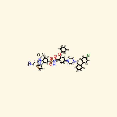 CN(C)CC[C@H](Nc1ccc(S(=O)(=O)NC(=O)c2ccc(N3CCN(Cc4ccccc4-c4ccc(Cl)cc4)CC3)cc2Oc2ccccc2)cc1[N+](=O)[O-])c1cccs1